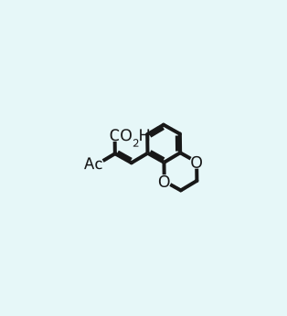 CC(=O)C(=Cc1cccc2c1OCCO2)C(=O)O